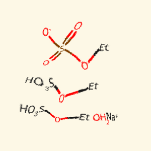 CCOS(=O)(=O)O.CCOS(=O)(=O)O.CCOS(=O)(=O)[O-].O.[Na+]